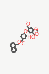 COCc1cc(OC)c(C(=O)O)cc1OC1CCC(C(=O)OCc2cccc3ccccc23)CC1